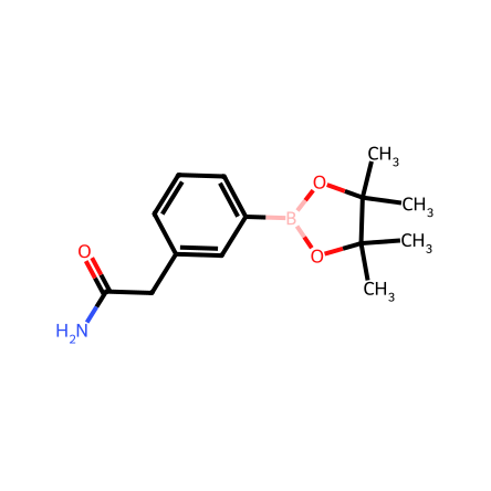 CC1(C)OB(c2cccc(CC(N)=O)c2)OC1(C)C